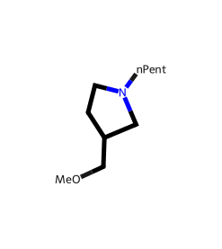 CCCCCN1CCC(COC)C1